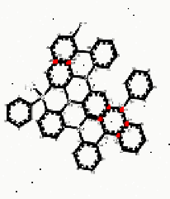 C[Si]1(c2ccccc2)c2cccc3c2B2c4c(cc(N(c5ccccc5)c5ccccc5)cc4N(c4ccccc4-c4ccccc4F)c4cccc1c42)N3c1ccccc1-c1ccccc1F